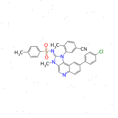 Cc1ccc(S(=O)(=O)N=c2n(C)c3cnc4ccc(-c5ccc(Cl)cc5)cc4c3n2-c2cc(C#N)ccc2C)cc1